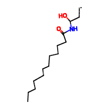 [CH2]CC(O)NC(=O)CCCCCCCCCCC